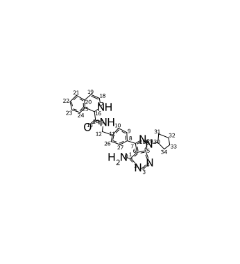 Nc1ncnc2c1c(-c1ccc(CNC(=O)C3NC=Cc4ccccc43)cc1)nn2C1CCCC1